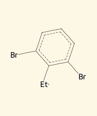 C[CH]c1c(Br)cccc1Br